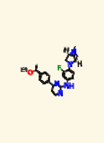 CCOC(C)c1ccc(-c2ccnc(Nc3ccc(N4C[C@@H]5C[C@H]4CN5C)c(F)c3)n2)cc1